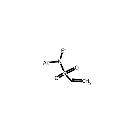 C=CS(=O)(=O)N(CC)C(C)=O